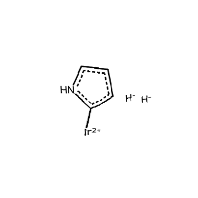 [H-].[H-].[Ir+2][c]1ccc[nH]1